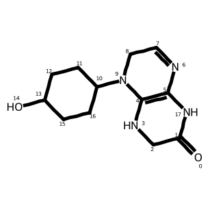 O=C1CNC2=C(N=CCN2C2CCC(O)CC2)N1